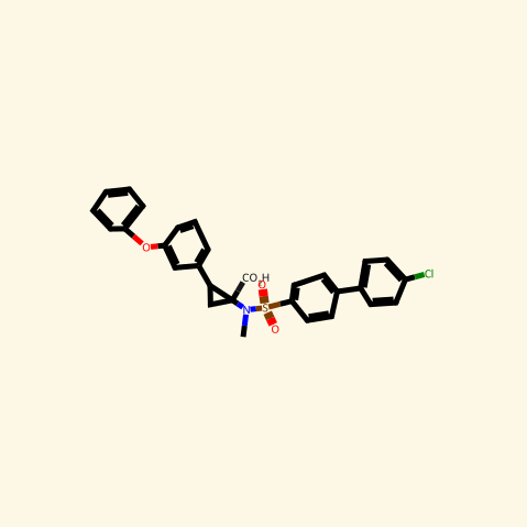 CN(C1(C(=O)O)CC1c1cccc(Oc2ccccc2)c1)S(=O)(=O)c1ccc(-c2ccc(Cl)cc2)cc1